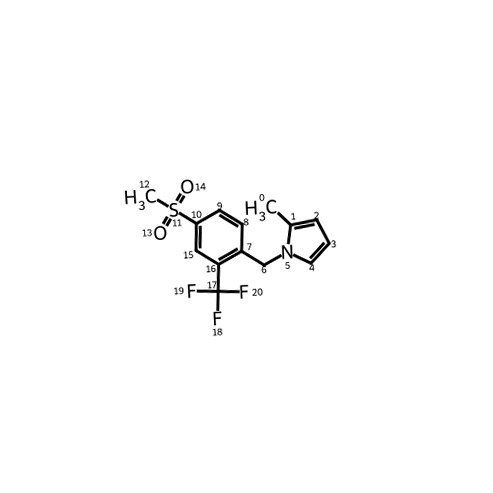 Cc1cccn1Cc1ccc(S(C)(=O)=O)cc1C(F)(F)F